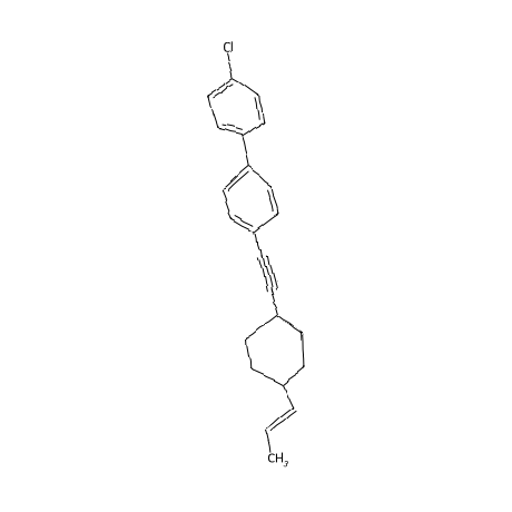 C/C=C/C1CCC(C#Cc2ccc(-c3ccc(Cl)cc3)cc2)CC1